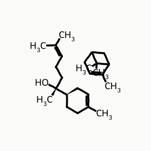 CC(C)=CCC[C@@](C)(O)[C@H]1CC=C(C)CC1.CC1=CCC2CC1C2(C)C